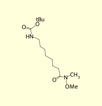 CON(C)C(=O)CCCCCCCNC(=O)OC(C)(C)C